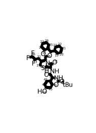 CC(C)(C)OC(=O)NC(C(=O)NC1C(=O)N2C(C(=O)OC(c3ccccc3)c3ccccc3)=C(CC(F)=C(F)F)CS[C@H]12)c1ccc(O)cc1